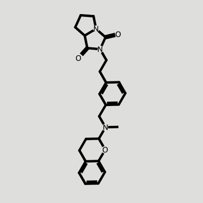 CN(Cc1cccc(CCN2C(=O)C3CCCN3C2=O)c1)C1CCc2ccccc2O1